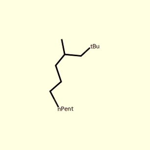 [CH2]CCCCCCCC(C)CC(C)(C)C